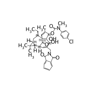 CC[C@@H]1C[C@@H]2[C@H]([C@@H]3C=C(CN4C(=O)c5ccccc5C4=O)[C@@H](O)[C@]4(O)[C@@H](OC(=O)N(C)c5ccc(Cl)cc5)C(C)=C[C@@]14C3=O)C2(C)C